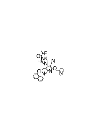 C=C(F)C(=O)N1[C@H](C)CN(c2c(C#N)c(OCC3CCCN3C)nc3c2CCN(c2cccc4cccc(Cl)c24)C3)C[C@@H]1C